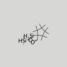 C[SiH](C)O[SiH2]C1(C=O)C(C)(C)C(C)(C)C(C)(C)C1(C)C